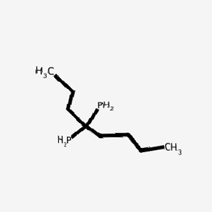 CCCCC(P)(P)CCC